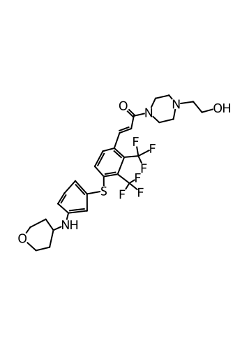 O=C(/C=C/c1ccc(Sc2cccc(NC3CCOCC3)c2)c(C(F)(F)F)c1C(F)(F)F)N1CCN(CCO)CC1